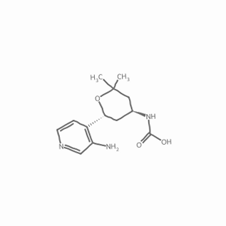 CC1(C)C[C@@H](NC(=O)O)C[C@H](c2ccncc2N)O1